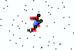 COC(=O)c1ccc(NC(=O)C(CC2CCCCC2)NCC(CCc2ccccc2)CC(=O)NO)cc1